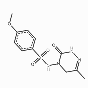 COc1ccc(S(=O)(=O)NN2CC(C)=NNC2=O)cc1